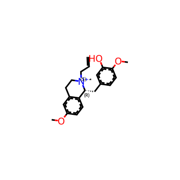 C=CC[N@+]1(C)CCc2cc(OC)ccc2[C@H]1Cc1ccc(OC)c(O)c1